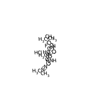 CC(C)N1CCN(c2ccc(Nc3cc(-c4cccc(-n5ncc6cc(C(C)(C)C)cc(F)c6c5=O)c4CO)nn(C)c3=O)nc2)CC1.Cl